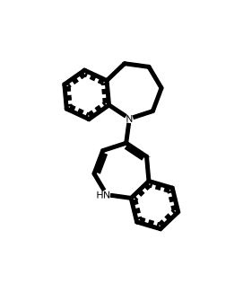 [C]1=C(N2CCCCc3ccccc32)C=CNc2ccccc21